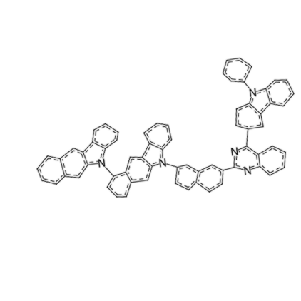 c1ccc(-n2c3ccccc3c3cc(-c4nc(-c5ccc6ccc(-n7c8ccccc8c8cc9c(-n%10c%11ccccc%11c%11cc%12ccccc%12cc%11%10)cccc9cc87)cc6c5)nc5ccccc45)ccc32)cc1